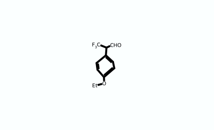 CCOc1ccc(C(C=O)C(F)(F)F)cc1